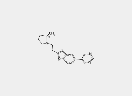 C[C@@H]1CCCN1CCc1nc2ccc(-c3cncnc3)cc2s1